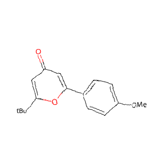 COc1ccc(-c2cc(=O)cc(C(C)(C)C)o2)cc1